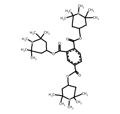 CN1C(C)(C)CC(OC(=O)c2ccc(C(=O)OC3CC(C)(C)N(C)C(C)(C)C3)c(C(=O)OC3CC(C)(C)N(C)C(C)(C)C3)c2)CC1(C)C